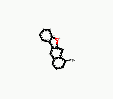 CC(C)(C)c1cccc2cc3c(cc12)oc1ccccc13